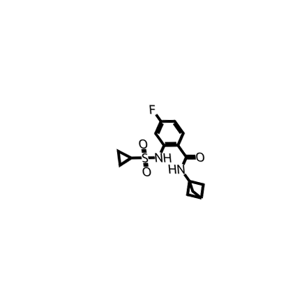 O=C(NC12CC(C1)C2)c1ccc(F)cc1NS(=O)(=O)C1CC1